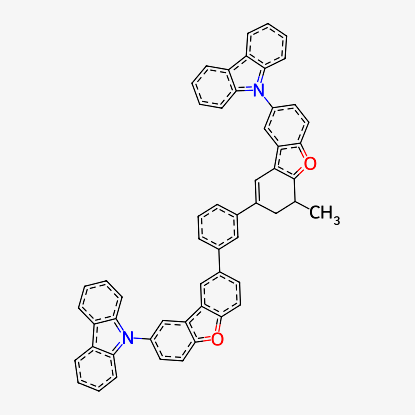 CC1CC(c2cccc(-c3ccc4oc5ccc(-n6c7ccccc7c7ccccc76)cc5c4c3)c2)=Cc2c1oc1ccc(-n3c4ccccc4c4ccccc43)cc21